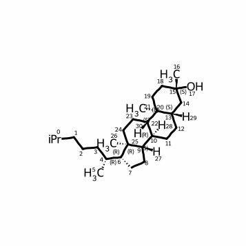 CC(C)CCC[C@@H](C)[C@H]1CC[C@H]2[C@@H]3CC[C@H]4C[C@@](C)(O)CC[C@]4(C)[C@H]3CC[C@]12C